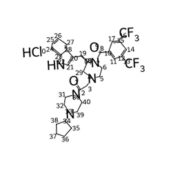 Cl.O=C(CN1CCN(C(=O)c2cc(C(F)(F)F)cc(C(F)(F)F)c2)[C@H](Cc2c[nH]c3ccccc23)C1)N1CCN(C2CCCC2)CC1